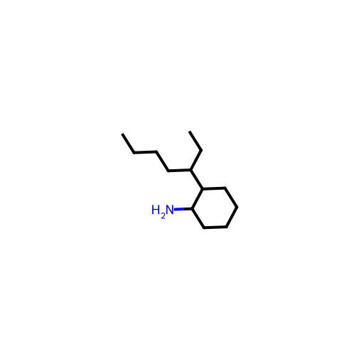 CCCCC(CC)C1CCCCC1N